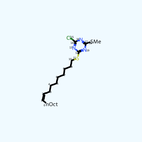 CCCCCCCC/C=C\CCCCCCCCSc1nc(Cl)nc(SC)n1